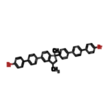 CC1CC(C)(c2ccc(-c3ccc(-c4ccc(Br)cc4)cc3)cc2)c2ccc(-c3ccc(-c4ccc(Br)cc4)cc3)cc21